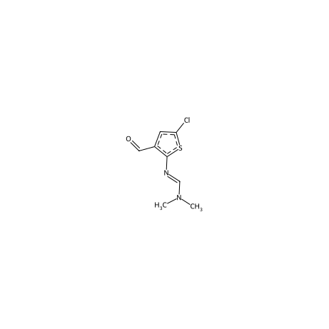 CN(C)C=Nc1sc(Cl)cc1C=O